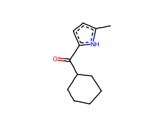 Cc1ccc(C(=O)C2CCCCC2)[nH]1